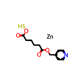 O=C(CCCCC(=O)OCc1ccncc1)OS.[Zn]